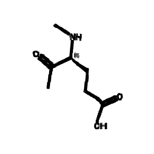 CN[C@@H](CCC(=O)O)C(C)=O